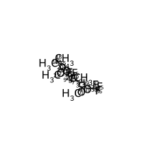 COc1cc(C(C)CC2CC2(COc2ccc(C(C)C)cc2OC)C(F)(F)F)ccc1OCCC(F)(F)F